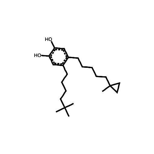 CC(C)(C)CCCCc1cc(O)c(O)cc1CCCCCC1(C)CC1